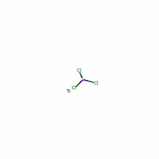 ClI(Cl)Cl.[Ti]